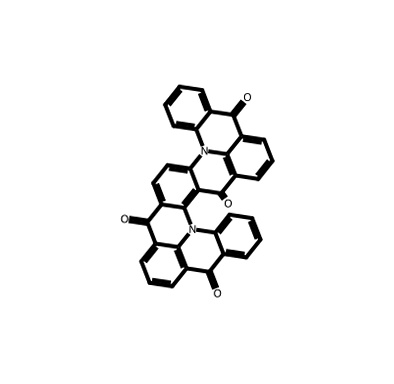 O=c1c2ccccc2n2c3ccc4c(=O)c5cccc6c(=O)c7ccccc7n(c65)c4c3c(=O)c3cccc1c32